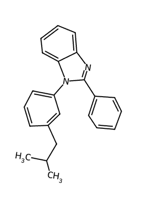 CC(C)Cc1cccc(-n2c(-c3ccccc3)nc3ccccc32)c1